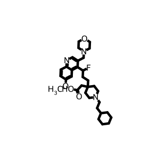 COc1ccc2ncc(CN3CCOCC3)c(C(F)CCC3(CC(=O)O)CCN(CCC4CCCCC4)CC3)c2c1